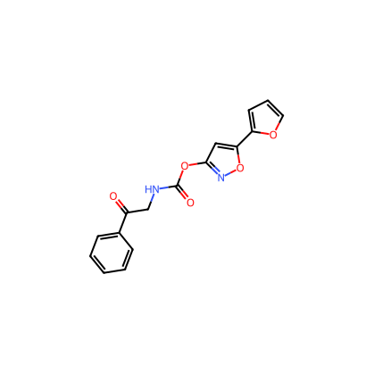 O=C(NCC(=O)c1ccccc1)Oc1cc(-c2ccco2)on1